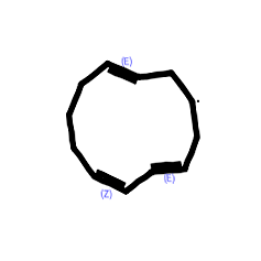 [CH]1C/C=C/C=C\CCC/C=C/C1